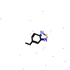 CCc1ccc2nsnc2c1